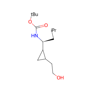 CC(C)C[C@H](NC(=O)OC(C)(C)C)C1CC1CCO